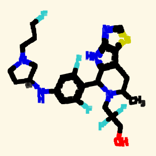 CC1Cc2c([nH]c3ncsc23)C(c2c(F)cc(N[C@H]3CCN(CCCF)C3)cc2F)N1CC(F)(F)CO